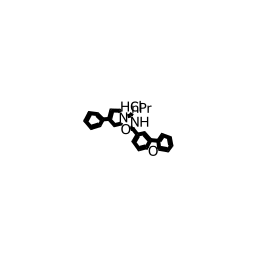 CCCC(NC(=O)c1ccc2oc3ccccc3c2c1)N1CC=C(c2ccccc2)CC1.Cl